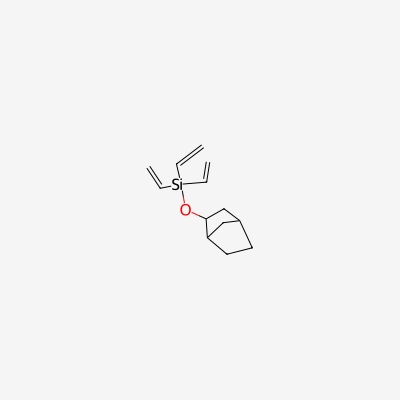 C=C[Si](C=C)(C=C)OC1CC2CCC1C2